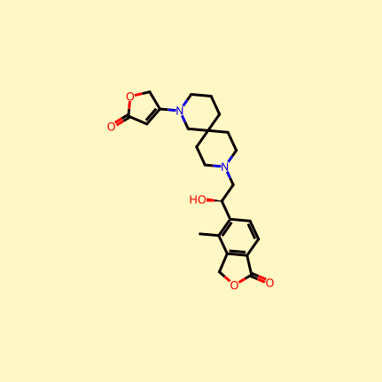 Cc1c([C@@H](O)CN2CCC3(CCCN(C4=CC(=O)OC4)C3)CC2)ccc2c1COC2=O